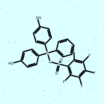 O=S(=O)(OS(c1ccccc1)(c1ccc(O)cc1)c1ccc(O)cc1)c1c(F)c(F)c(F)c(F)c1F